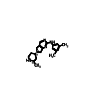 Cc1cc(C)cc(Nc2ncc3c(n2)CN([C@H]2CCN[C@H](C)C2)C3)c1